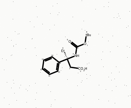 CC[C@@](CC(=O)O)(NC(=O)OC(C)(C)C)c1ccccc1